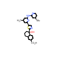 Cc1cc(Nc2cc(C(C)(C)C)ccn2)nc(-c2cnc([C@@]3(O)CCCc4cc(C(=O)O)ccc43)s2)c1